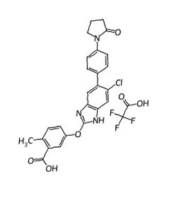 Cc1ccc(Oc2nc3cc(-c4ccc(N5CCCC5=O)cc4)c(Cl)cc3[nH]2)cc1C(=O)O.O=C(O)C(F)(F)F